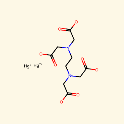 O=C([O-])CN(CCN(CC(=O)[O-])CC(=O)[O-])CC(=O)[O-].[Hg+2].[Hg+2]